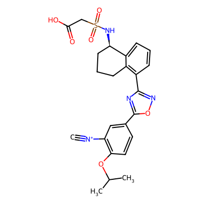 [C-]#[N+]c1cc(-c2nc(-c3cccc4c3CCC[C@H]4NS(=O)(=O)CC(=O)O)no2)ccc1OC(C)C